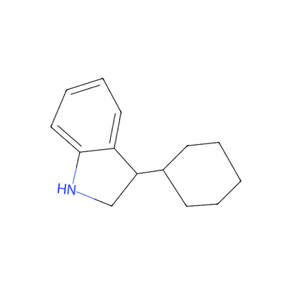 c1ccc2c(c1)NCC2C1CCCCC1